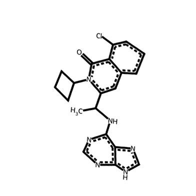 CC(Nc1ncnc2[nH]cnc12)c1cc2cccc(Cl)c2c(=O)n1C1CCC1